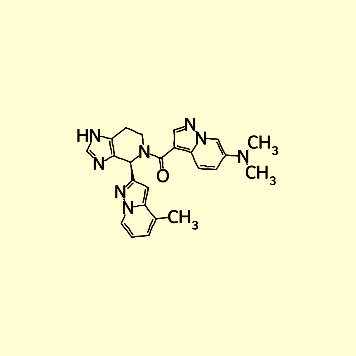 Cc1cccn2nc([C@H]3c4nc[nH]c4CCN3C(=O)c3cnn4cc(N(C)C)ccc34)cc12